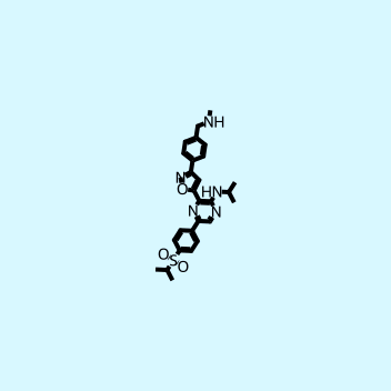 CNCc1ccc(-c2cc(-c3nc(-c4ccc(S(=O)(=O)C(C)C)cc4)cnc3NC(C)C)on2)cc1